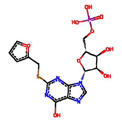 O=P(O)(O)OC[C@H]1O[C@@H](n2cnc3c(O)nc(SCc4ccco4)nc32)[C@H](O)[C@@H]1O